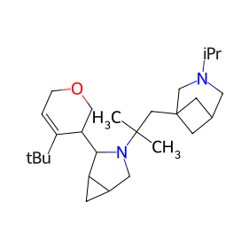 CC(C)N1CC2CC(CC(C)(C)N3CC4CC4C3C3COCC=C3C(C)(C)C)(C2)C1